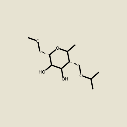 COC[C@@H]1OC(C)[C@H](COC(C)C)C(O)C1O